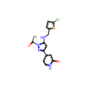 CC(C)C(=O)n1nc(-c2cc[nH]c(=O)c2)cc1NCc1ccc(Cl)s1